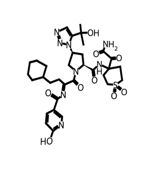 CC(C)(O)c1cnnn1[C@H]1C[C@@H](C(=O)NC2(C(=O)C(N)=O)CCS(=O)(=O)CC2)N(C(=O)/C(CCC2CCCCC2)=N/C(=O)c2ccc(O)nc2)C1